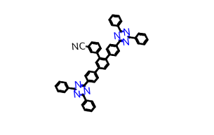 N#Cc1cccc(-c2cc(-c3ccc(-c4nc(-c5ccccc5)nc(-c5ccccc5)n4)cc3)ccc2-c2ccc(-c3nc(-c4ccccc4)nc(-c4ccccc4)n3)cc2)c1